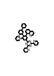 C1=CB2c3ccc(-c4ccccc4)cc3-c3c(-c4cccc5cccnc45)cc(-c4nc(-c5ccccn5)nc(-c5ccccn5)n4)cc3N2C=C1